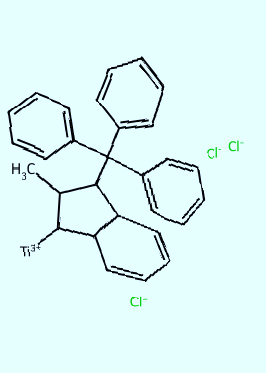 CC1[CH]([Ti+3])C2C=CC=CC2C1C(c1ccccc1)(c1ccccc1)c1ccccc1.[Cl-].[Cl-].[Cl-]